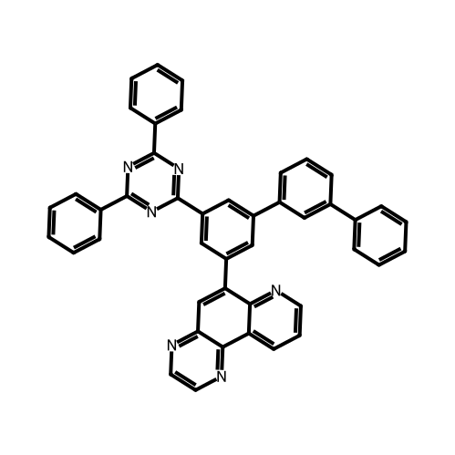 c1ccc(-c2cccc(-c3cc(-c4nc(-c5ccccc5)nc(-c5ccccc5)n4)cc(-c4cc5nccnc5c5cccnc45)c3)c2)cc1